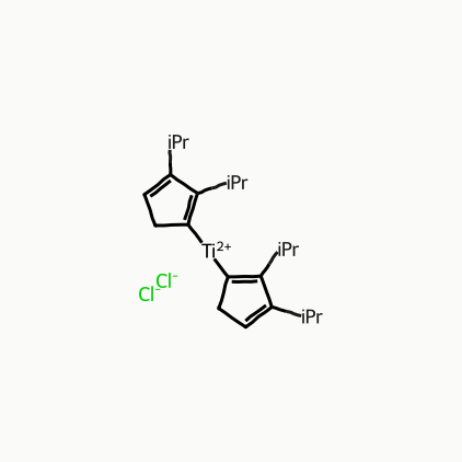 CC(C)C1=CC[C]([Ti+2][C]2=C(C(C)C)C(C(C)C)=CC2)=C1C(C)C.[Cl-].[Cl-]